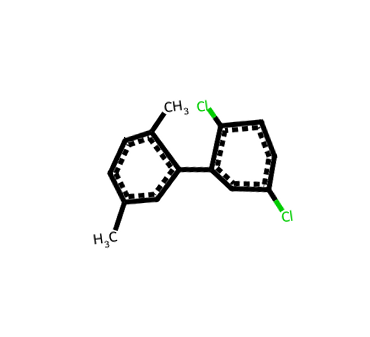 Cc1c[c]c(C)c(-c2cc(Cl)ccc2Cl)c1